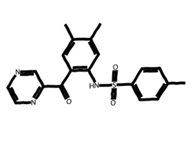 Cc1ccc(S(=O)(=O)Nc2cc(C)c(C)cc2C(=O)c2cnccn2)cc1